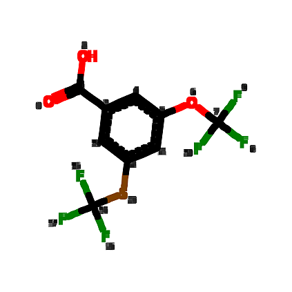 O=C(O)c1cc(OC(F)(F)F)cc(SC(F)(F)F)c1